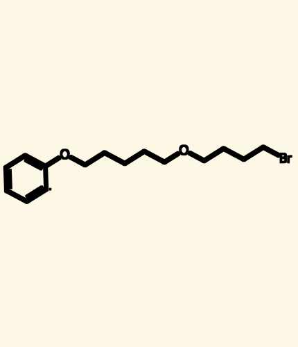 BrCCCCOCCCCCOc1[c]cccc1